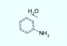 CC.Nc1ccccc1.O